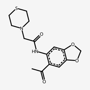 CC(=O)c1cc2c(cc1NC(=O)CN1CCSCC1)OCO2